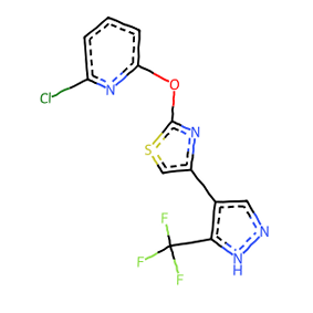 FC(F)(F)c1[nH]ncc1-c1csc(Oc2cccc(Cl)n2)n1